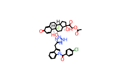 CC(=O)OCC(=O)[C@@]1(O)CC[C@H]2[C@@H]3CCC4=CC(=O)C=C[C@]4(C)[C@@]3(F)[C@@H](O)C[C@@]21C.O=C(c1ccc(Cl)cc1)n1cc(Cc2nn[nH]n2)c2ccccc21